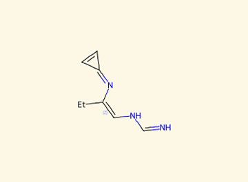 CC/C(=C/NC=N)N=c1cc1